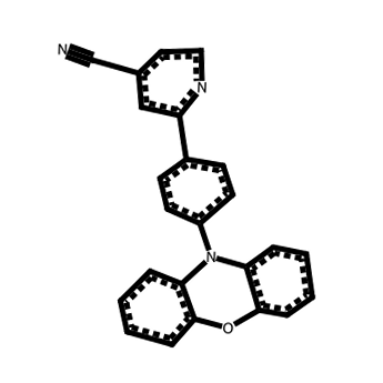 N#Cc1ccnc(-c2ccc(N3c4ccccc4Oc4ccccc43)cc2)c1